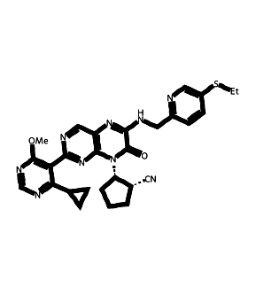 CCSc1ccc(CNc2nc3cnc(-c4c(OC)ncnc4C4CC4)nc3n([C@H]3CCC[C@H]3C#N)c2=O)nc1